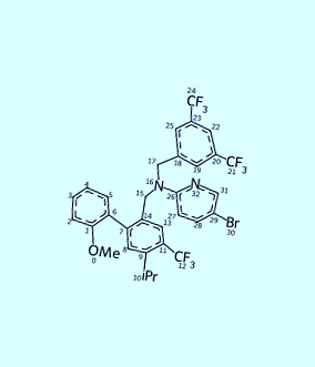 COc1ccccc1-c1cc(C(C)C)c(C(F)(F)F)cc1CN(Cc1cc(C(F)(F)F)cc(C(F)(F)F)c1)c1ccc(Br)cn1